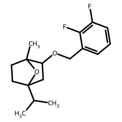 CC(C)C12CCC(C)(O1)C(OCc1cccc(F)c1F)C2